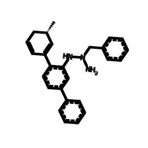 C[C@@H]1C=C(c2ccc(-c3ccccc3)cc2NN(N)Cc2ccccc2)C=CC1